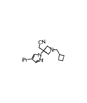 CC(C)c1cnn(C2(CC#N)CN(CC3CCC3)C2)c1